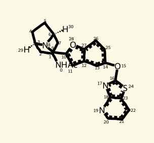 CC(=O)NC1C[C@H]2CC[C@@H](C1)N2Cc1cc2cc(Oc3nc4ncccc4s3)ccc2o1